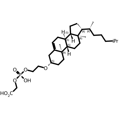 CC(C)CCC[C@@H](C)[C@H]1CC[C@H]2[C@@H]3CC=C4C[C@@H](OCCOP(=O)(O)OCC(=O)O)CC[C@]4(C)[C@H]3CC[C@]12C